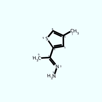 CC(=NN)c1cc(C)cs1